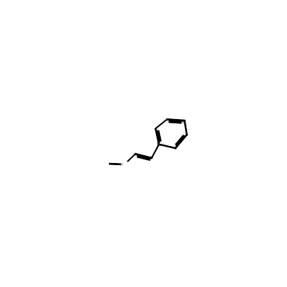 C[N]C=Cc1ccccc1